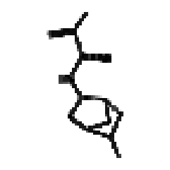 C=C(C)C(=O)NC1CC2CC1CC2C